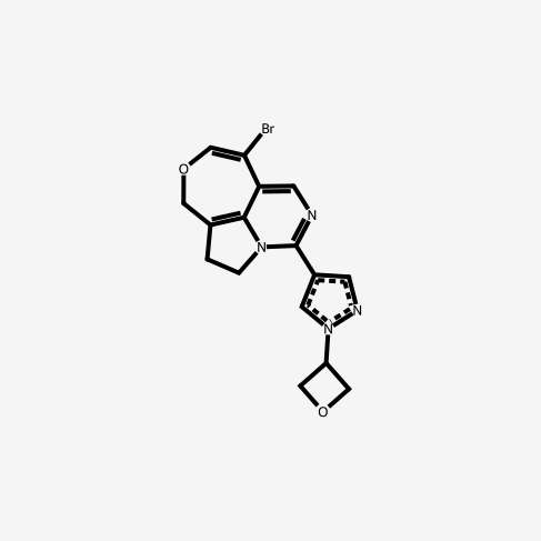 BrC1=COCC2=C3C1=CN=C(c1cnn(C4COC4)c1)N3CC2